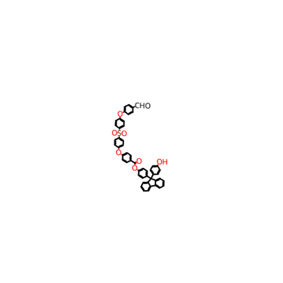 O=Cc1ccc(Oc2ccc(S(=O)(=O)c3ccc(Oc4ccc(C(=O)Oc5ccc(C6(c7ccc(O)cc7)c7ccccc7-c7ccccc76)cc5)cc4)cc3)cc2)cc1